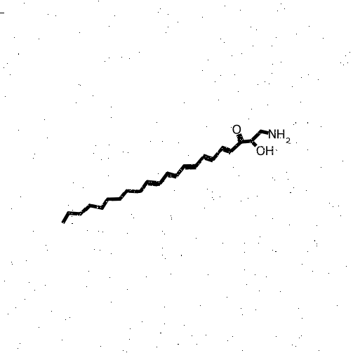 CCCCCCCCCC=CC=CC=CC=CC=CC(=O)C(O)CN